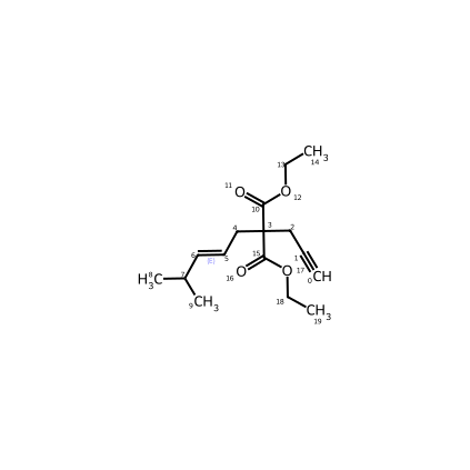 C#CCC(C/C=C/C(C)C)(C(=O)OCC)C(=O)OCC